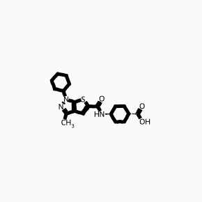 Cc1nn(C2CCCCC2)c2sc(C(=O)N[C@H]3CC[C@@H](C(=O)O)CC3)cc12